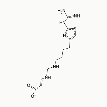 N=C(N)Nc1nc(CCCCNCNC=C[N+](=O)[O-])cs1